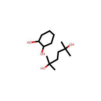 CC(C)(O)CCC(C)(C)O.OC1CCCCC1O